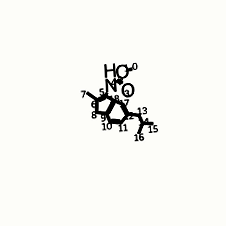 COC(=O)NC1=C(C)Cc2ccc(CC(C)C)cc21